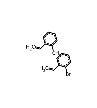 C=Cc1ccccc1Br.C=Cc1ccccc1C